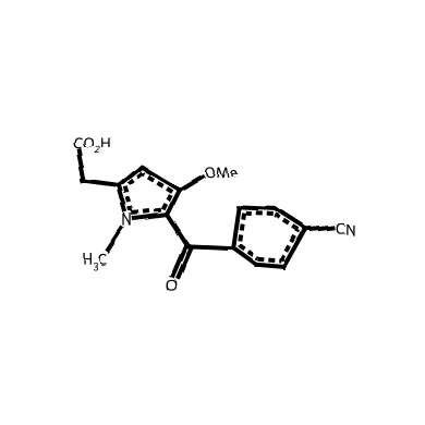 COc1cc(CC(=O)O)n(C)c1C(=O)c1ccc(C#N)cc1